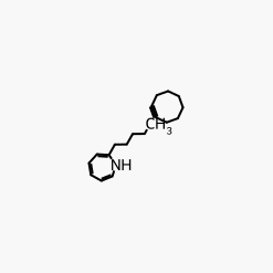 C1#CCCCCCC1.CCCCCC1=CC=CC=CN1